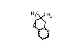 CC1(C)C=Nc2ccccc2C1